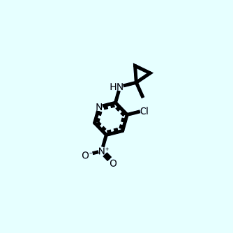 CC1(Nc2ncc([N+](=O)[O-])cc2Cl)CC1